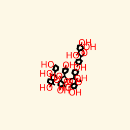 COC1(O)c2ccc(O)c(O)c2OCC1c1ccccc1.Cc1c(O)ccc2c1OCC(c1ccc(O)cc1)C2O.Cc1c(O)ccc2c1OCC(c1cccc(O)c1)C2O.Oc1ccc(C2COc3c(ccc(O)c3O)C2O)cc1